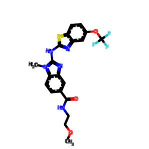 COCCNC(=O)c1ccc2c(c1)nc(Nc1nc3cc(OC(F)(F)F)ccc3s1)n2C